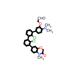 CN(C)c1ccc(-c2cccc(-c3cccc(-c4ccc5c(c4)OCC(=O)N5C)c3Cl)c2Cl)cc1OCC=O